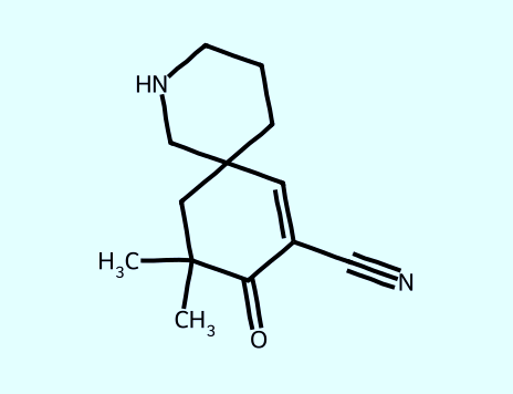 CC1(C)CC2(C=C(C#N)C1=O)CCCNC2